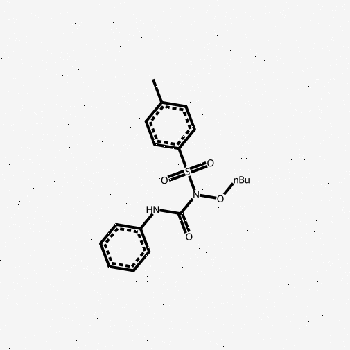 CCCCON(C(=O)Nc1ccccc1)S(=O)(=O)c1ccc(C)cc1